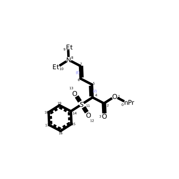 CCCOC(=O)/C(=C/C=C/N(CC)CC)S(=O)(=O)c1ccccc1